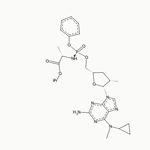 CC(C)OC(=O)[C@H](C)N[P@@](=O)(OC[C@@H]1C[C@H](C)[C@H](n2cnc3c(N(C)C4CC4)nc(N)nc32)O1)Oc1ccccc1